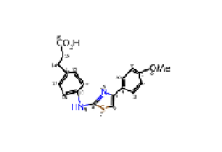 COc1ccc(-c2csc(Nc3ccc(CCC(=O)O)cc3)n2)cc1